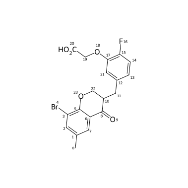 Cc1cc(Br)c2c(c1)C(=O)C(Cc1ccc(F)c(OCC(=O)O)c1)CO2